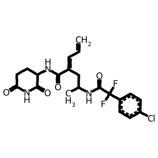 C=C/C=C(\CC(C)NC(=O)C(F)(F)c1ccc(Cl)cc1)C(=O)NC1CCC(=O)NC1=O